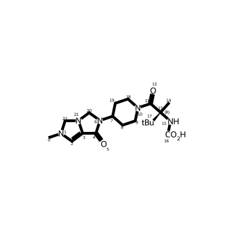 CN1C=C2C(=O)N(C3CCN(C(=O)[C@](C)(NC(=O)O)C(C)(C)C)CC3)CN2C1